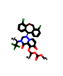 COC(=O)OC(C)Oc1c2n(ccc1=O)N([C@H]1c3cccc(F)c3CSc3c(Cl)cccc31)CN([C@H](C)C(F)(F)F)C2=O